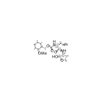 COc1ccccc1COC(=O)N[C@@H](CC(C)C)C(=O)N[C@H]1CCOC1O